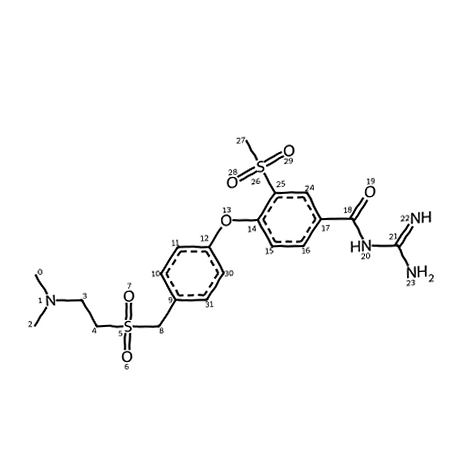 CN(C)CCS(=O)(=O)Cc1ccc(Oc2ccc(C(=O)NC(=N)N)cc2S(C)(=O)=O)cc1